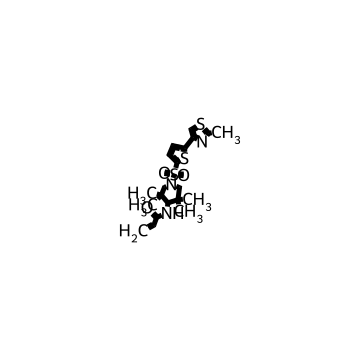 C=CC(=O)NC1C(C)(C)CN(S(=O)(=O)c2ccc(-c3csc(C)n3)s2)CC1(C)C